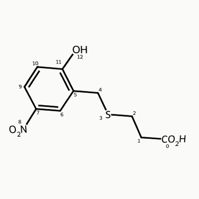 O=C(O)CCSCc1cc([N+](=O)[O-])ccc1O